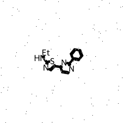 CCNc1ncc(-c2ccnc(-c3ccccc3)n2)s1